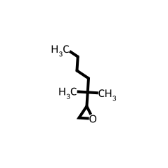 CCCCC(C)(C)C1CO1